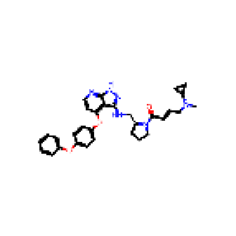 CN(C/C=C/C(=O)N1CCC[C@H]1CNc1n[nH]c2nccc(Oc3ccc(Oc4ccccc4)cc3)c12)C1CC1